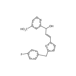 O=C(O)c1ccnc(C(O)C=Cc2ccc(Cc3ccc(F)cc3)o2)c1